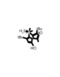 CC1=CC(C(C)(C)C)=[C]([Hf]([CH3])([CH3])(=[SiH2])[C]2=C(C(C)(C)C)C=C(C)C2)C1.Cl.Cl